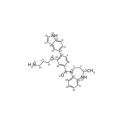 CC1CCN(C(=O)c2ccc(-c3ccc4[nH]ccc4c3)c(OCCCN)c2)c2ccccc2N1